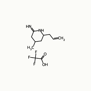 C=CCC1CC(C)CC(=N)N1.O=C(O)C(F)(F)F